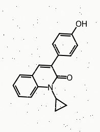 O=c1c(-c2ccc(O)cc2)cc2ccccc2n1C1CC1